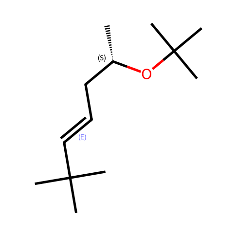 C[C@@H](C/C=C/C(C)(C)C)OC(C)(C)C